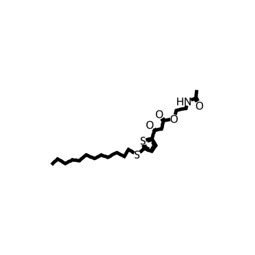 CCCCCCCCCCCCSc1ccc(C(=O)CC(=O)OCCNC(C)=O)s1